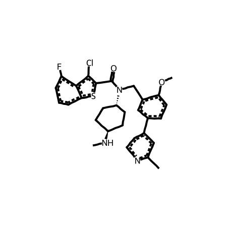 CN[C@H]1CC[C@H](N(Cc2cc(-c3ccnc(C)c3)ccc2OC)C(=O)c2sc3cccc(F)c3c2Cl)CC1